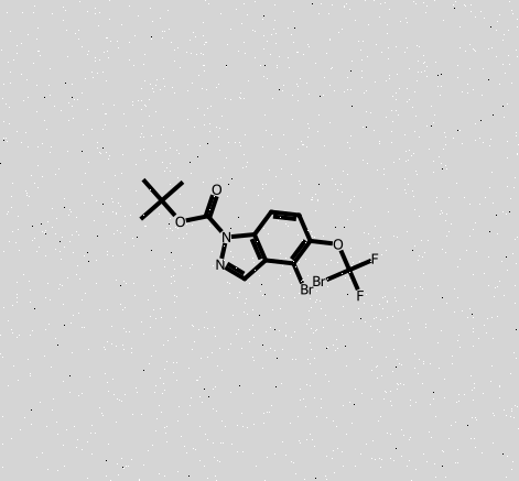 CC(C)(C)OC(=O)n1ncc2c(Br)c(OC(F)(F)Br)ccc21